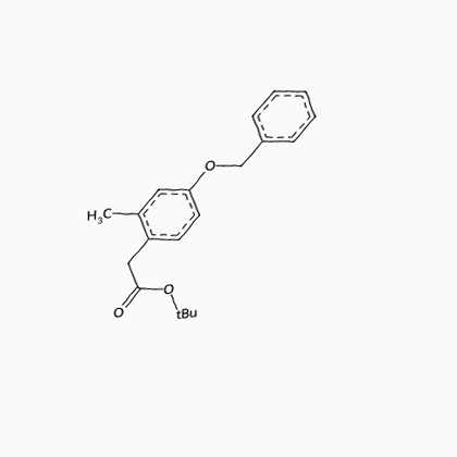 Cc1cc(OCc2ccccc2)ccc1CC(=O)OC(C)(C)C